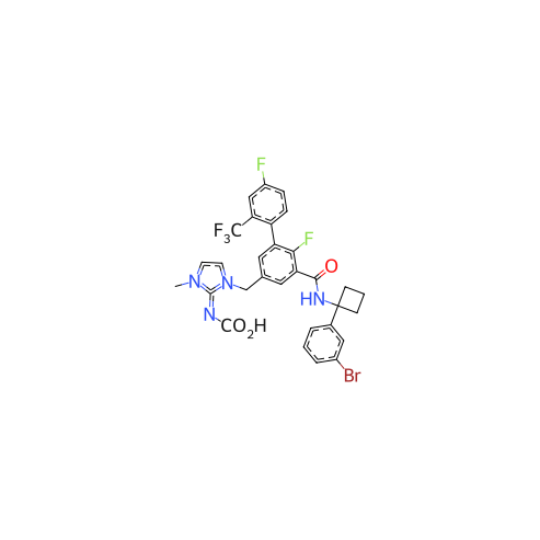 Cn1ccn(Cc2cc(C(=O)NC3(c4cccc(Br)c4)CCC3)c(F)c(-c3ccc(F)cc3C(F)(F)F)c2)/c1=N\C(=O)O